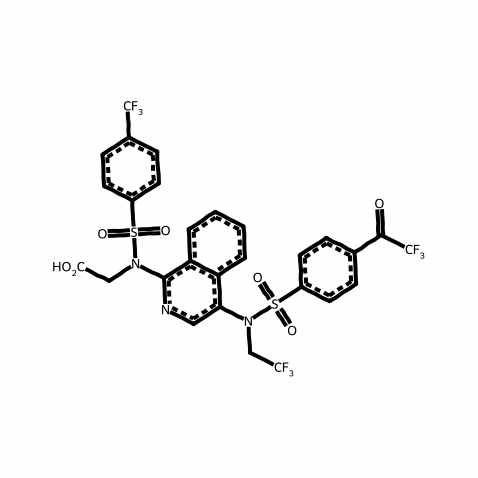 O=C(O)CN(c1ncc(N(CC(F)(F)F)S(=O)(=O)c2ccc(C(=O)C(F)(F)F)cc2)c2ccccc12)S(=O)(=O)c1ccc(C(F)(F)F)cc1